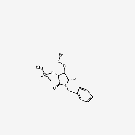 C[C@H]1[C@H](OSBr)[C@@H](O[Si](C)(C)C(C)(C)C)C(=O)N1Cc1ccccc1